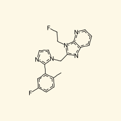 Cc1ccc(F)cc1-c1nccn1Cc1nc2cccnc2n1CCF